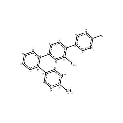 Cc1ncc(-c2ccc(-c3ccccc3-c3cnc(N)nc3)cc2F)cn1